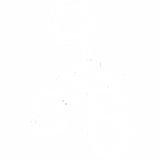 O=C(OC1CCCCC1)C(c1ccccc1)(N1CCOCC1)C(F)(F)F